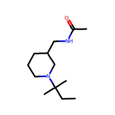 CCC(C)(C)N1CCCC(CNC(C)=O)C1